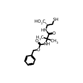 CC(C)(NC(=O)OCc1ccccc1)C(=O)N[C@@H](CS)C(=O)O